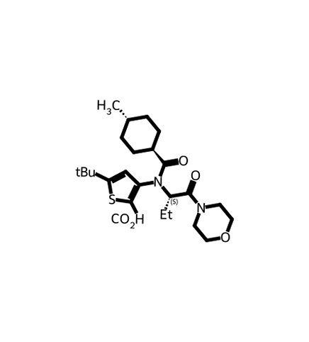 CC[C@@H](C(=O)N1CCOCC1)N(c1cc(C(C)(C)C)sc1C(=O)O)C(=O)[C@H]1CC[C@H](C)CC1